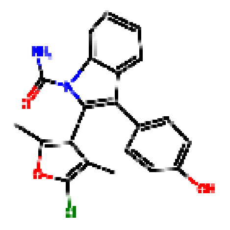 Cc1oc(Cl)c(C)c1-c1c(-c2ccc(O)cc2)c2ccccc2n1C(N)=O